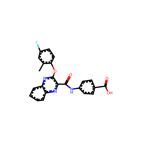 Cc1cc(F)ccc1Oc1nc2ccccc2nc1C(=O)Nc1ccc(C(=O)O)cc1